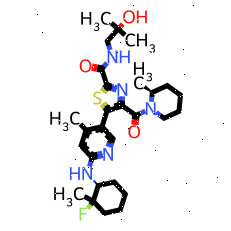 Cc1cc(N[C@@H]2CCCCC2(C)F)ncc1-c1sc(C(=O)NCC(C)(C)O)nc1C(=O)N1CCCC[C@@H]1C